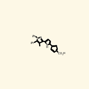 Cc1c(-c2ccc(-c3ccc(C(=O)O)cc3)[nH]2)nn(C(C)C)c1C(C)C